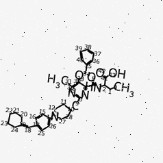 CCC(NC(=O)c1nc(CC2CCN(c3ccc(C=C4CCCCC4)cc3)CC2)nc(C)c1OCc1ccccc1)C(=O)O